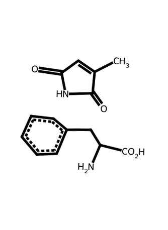 CC1=CC(=O)NC1=O.NC(Cc1ccccc1)C(=O)O